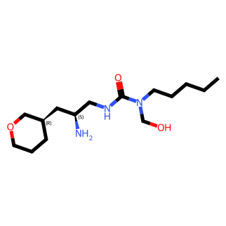 CCCCCN(CO)C(=O)NC[C@@H](N)C[C@H]1CCCOC1